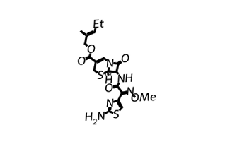 CCC=C(C)COC(=O)C1=CN2C(=O)C(NC(=O)C(=NOC)c3csc(N)n3)[C@H]2SC1